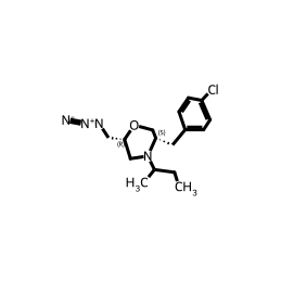 CCC(C)N1C[C@H](CN=[N+]=[N-])OC[C@@H]1Cc1ccc(Cl)cc1